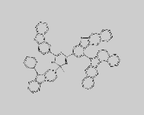 CC1(c2ccc3c4ccccc4n(-c4ccccc4)c3c2)N=C(c2cc(-n3c4cc5ccccc5cc4c4c5ccccc5ccc43)c3c(c2)sc2cc4ccccc4cc23)N=C(c2ccc3sc4ccccc4c3c2)N1